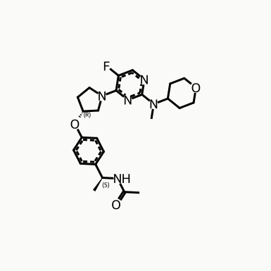 CC(=O)N[C@@H](C)c1ccc(O[C@@H]2CCN(c3nc(N(C)C4CCOCC4)ncc3F)C2)cc1